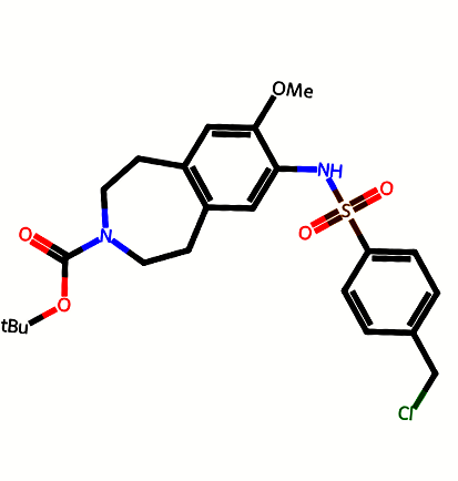 COc1cc2c(cc1NS(=O)(=O)c1ccc(CCl)cc1)CCN(C(=O)OC(C)(C)C)CC2